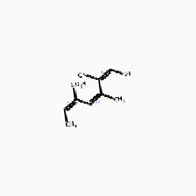 C\C=C(/C=C(C)\C(=C/S)N=O)C(=O)O